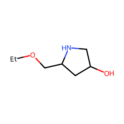 CCOCC1CC(O)CN1